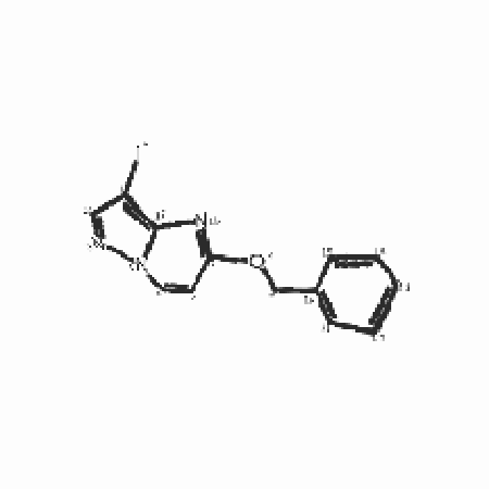 Ic1cnn2ccc(OCc3ccccc3)nc12